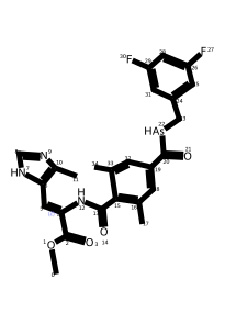 COC(=O)/C(=C/c1[nH]cnc1C)NC(=O)c1c(C)cc(C(=O)[AsH]Cc2cc(F)cc(F)c2)cc1C